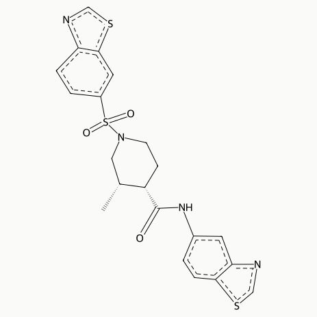 C[C@@H]1CN(S(=O)(=O)c2ccc3ncsc3c2)CC[C@@H]1C(=O)Nc1ccc2scnc2c1